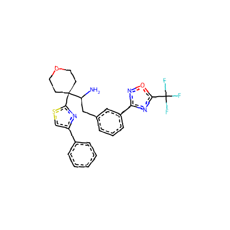 NC(Cc1cccc(-c2noc(C(F)(F)F)n2)c1)C1(c2nc(-c3ccccc3)cs2)CCOCC1